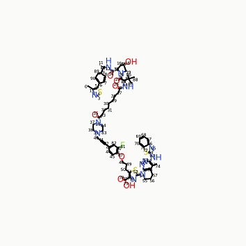 Cc1ncsc1-c1ccc([C@H](C)NC(=O)[C@@H]2C[C@@H](O)CN2C(=O)[C@@H](NC(=O)CCCCCCCC(=O)N2CCN(CC#Cc3ccc(OCCCc4sc(N5CCCc6c5nnc(Nc5nc7ccccc7s5)c6C)nc4C(=O)O)c(F)c3)CC2)C(C)(C)C)cc1